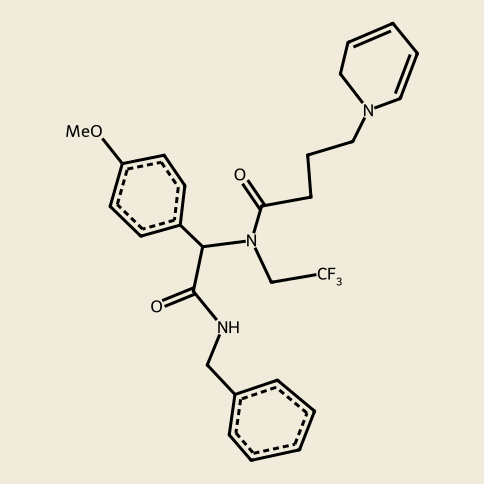 COc1ccc(C(C(=O)NCc2ccccc2)N(CC(F)(F)F)C(=O)CCCN2C=CC=CC2)cc1